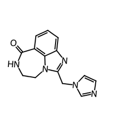 O=C1NCCn2c(Cn3ccnc3)nc3cccc1c32